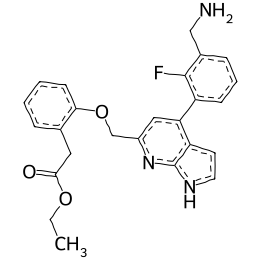 CCOC(=O)Cc1ccccc1OCc1cc(-c2cccc(CN)c2F)c2cc[nH]c2n1